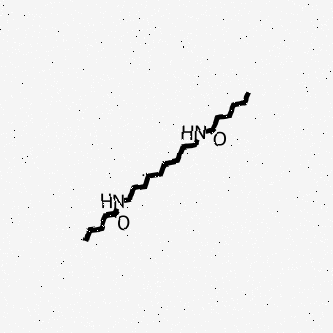 CCCCCC(=O)NCCCCC[CH]CCCNC(=O)CCCC